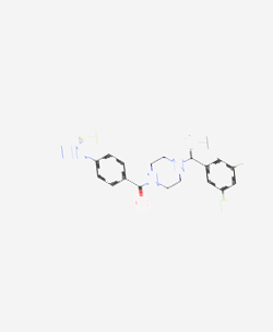 CC(c1cc(F)cc(F)c1)N1CCN(C(=O)c2ccc(NS)cc2)CC1